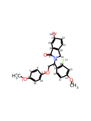 COc1ccc(OCC(c2ccc(OC)cc2F)N2Cc3ccc(Br)cc3C2=O)cc1